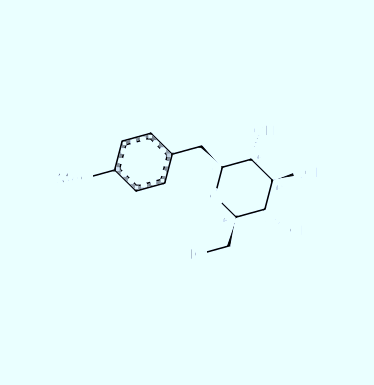 COc1ccc(C[C@@H]2O[C@H](CO)[C@@H](O)[C@H](O)[C@H]2O)cc1